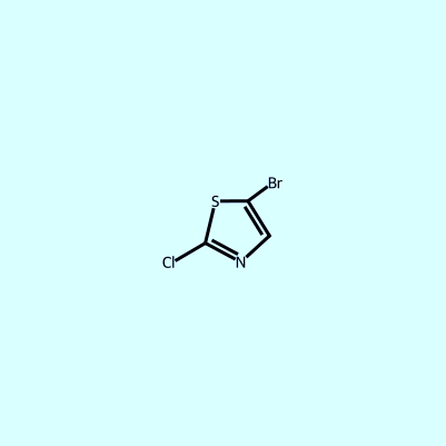 Clc1ncc(Br)s1